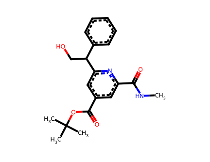 CNC(=O)c1cc(C(=O)OC(C)(C)C)cc(C(CO)c2ccccc2)n1